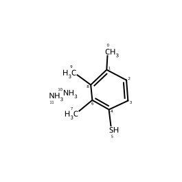 Cc1ccc(S)c(C)c1C.N.N